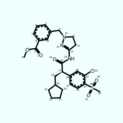 COC(=O)c1cccc(CN2CCC(NC(=O)[C@H](CC3CCCC3)c3ccc(S(C)(=O)=O)c(Cl)c3)=N2)c1